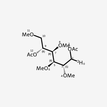 [2H]C(OC(C)=O)[C@H](OC)[C@@H](OC)[C@H](OC)[C@@H](COC)OC(C)=O